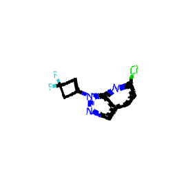 FC1(F)CC(n2ncc3ccc(Cl)nc32)C1